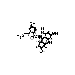 CCCc1cc(O)ccc1C(=O)O.O=C(c1ccc(O)cc1O)c1ccc(O)cc1O